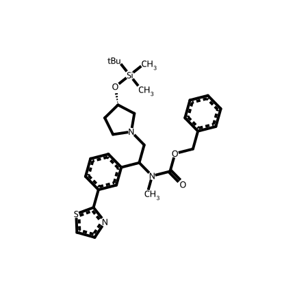 CN(C(=O)OCc1ccccc1)C(CN1CC[C@H](O[Si](C)(C)C(C)(C)C)C1)c1cccc(-c2nccs2)c1